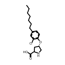 CCCCCCCc1ccc(O[C@@H]2CNC(C(=O)O)C2)c(Cl)c1